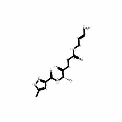 Cc1cc(C(=O)N[C@H](C(=O)CCC(=O)NC/C=C/C(=O)O)C(C)C)no1